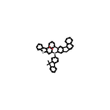 CC1(C)c2ccccc2-c2ccc(N(c3ccc4c(c3)oc3ccccc34)c3cc4c(cc3-c3ccccc3)-c3c(ccc5ccccc35)C4)cc21